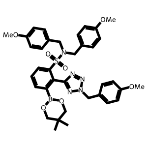 COc1ccc(CN(Cc2ccc(OC)cc2)S(=O)(=O)c2cccc(B3OCC(C)(C)CO3)c2-c2nnn(Cc3ccc(OC)cc3)n2)cc1